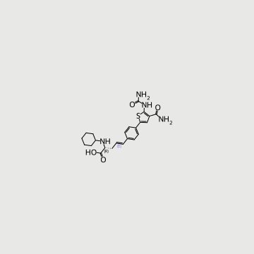 NC(=O)Nc1sc(-c2ccc(/C=C/C[C@@H](NC3CCCCC3)C(=O)O)cc2)cc1C(N)=O